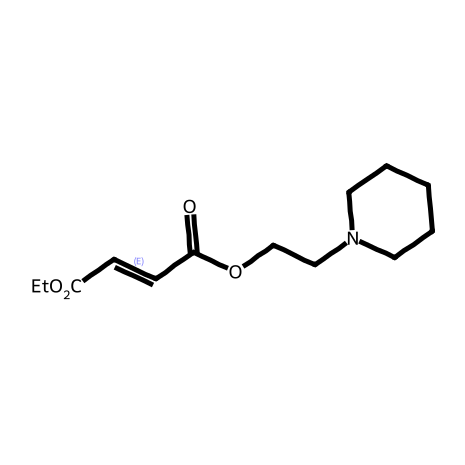 CCOC(=O)/C=C/C(=O)OCCN1CCCCC1